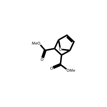 COC(=O)C1C2C=CC(O2)C1C(=O)OC